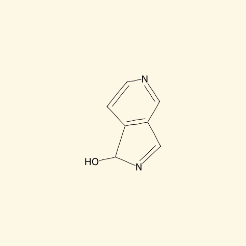 OC1N=Cc2cnccc21